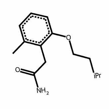 Cc1cccc(OCCC(C)C)c1CC(N)=O